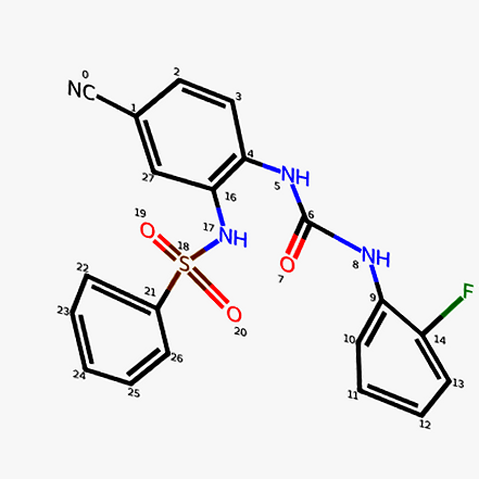 N#Cc1ccc(NC(=O)Nc2ccccc2F)c(NS(=O)(=O)c2ccccc2)c1